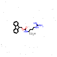 N=C(N)NCCC[C@@H](NC(=O)OCC1c2ccccc2-c2ccccc21)C(=O)O